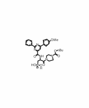 CCCCOC(=O)N1CCN(C(=O)C(CP(=O)(O)O)NC(=O)c2cc(-c3ccc(OC)cc3)nc(-c3ccccc3)n2)CC1